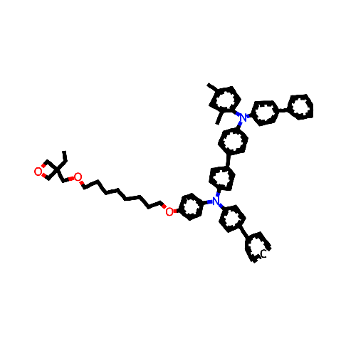 CCC1(COCCCCCCCCOc2ccc(N(c3ccc(-c4ccccc4)cc3)c3ccc(-c4ccc(N(c5ccc(-c6ccccc6)cc5)c5ccc(C)cc5C)cc4)cc3)cc2)COC1